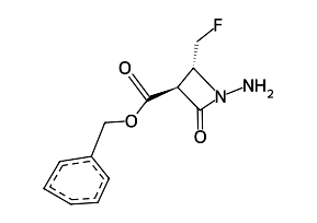 NN1C(=O)[C@@H](C(=O)OCc2ccccc2)[C@@H]1CF